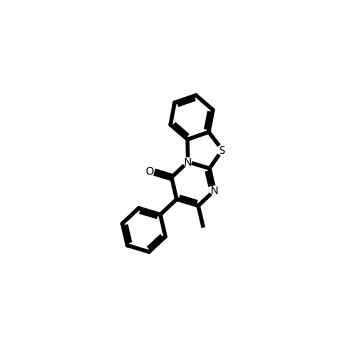 Cc1nc2sc3ccccc3n2c(=O)c1-c1ccccc1